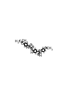 COc1ccc(NS(=O)(=O)c2ccc(NC(=S)NC(=O)c3ccc(OC(C)C)cc3)cc2)cc1